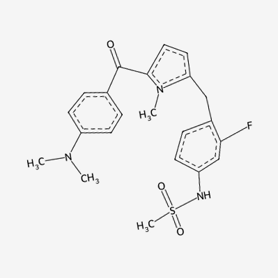 CN(C)c1ccc(C(=O)c2ccc(Cc3ccc(NS(C)(=O)=O)cc3F)n2C)cc1